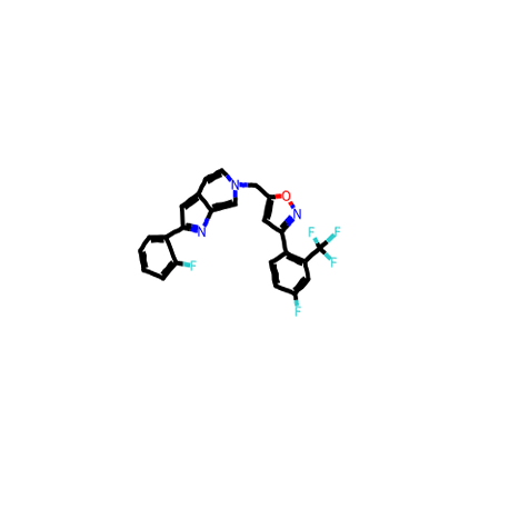 Fc1ccc(-c2cc(Cn3ccc4cc(-c5ccccc5F)nc-4c3)on2)c(C(F)(F)F)c1